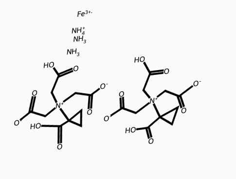 N.N.O=C([O-])C[N+](CC(=O)[O-])(CC(=O)O)C1(C(=O)O)CC1.O=C([O-])C[N+](CC(=O)[O-])(CC(=O)O)C1(C(=O)O)CC1.[Fe+3].[NH4+]